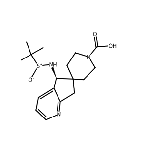 CC(C)(C)[S+]([O-])N[C@@H]1c2cccnc2CC12CCN(C(=O)O)CC2